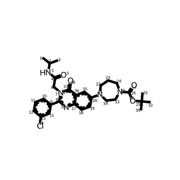 CC(C)NC(=O)Cn1c(-c2cccc(Cl)c2)nc2ccc(N3CCCN(C(=O)OC(C)(C)C)CC3)cc2c1=O